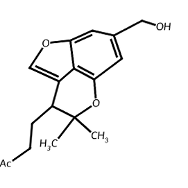 CC(=O)CCC1c2coc3cc(CO)cc(c23)OC1(C)C